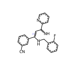 N#Cc1cccc(/C(=C/C(=N)c2ccccn2)NCc2ccccc2F)c1